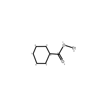 CCOC(=O)C1[C]CCCC1